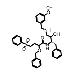 COc1cccc(CNC[C@@H](O)[C@H](Cc2ccccc2)NC(=O)C(CCS(=O)(=O)c2ccccc2)OCc2ccccc2)c1